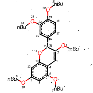 CCCCOC1=Cc2c(OCCCC)cc(OCCCC)cc2O[C@H]1c1ccc(OCCCC)c(OCCCC)c1